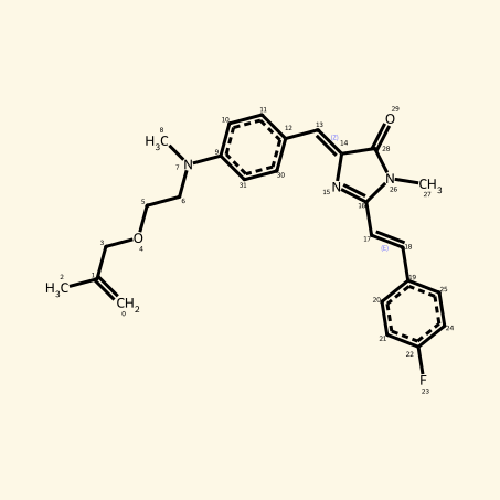 C=C(C)COCCN(C)c1ccc(/C=C2N=C(/C=C/c3ccc(F)cc3)N(C)C\2=O)cc1